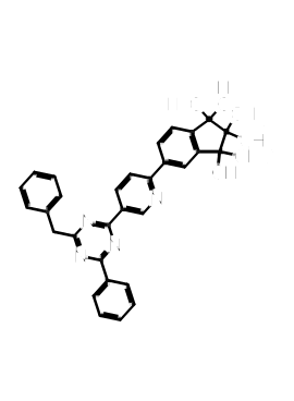 CC1(C)c2ccc(-c3ccc(-c4nc(Cc5ccccc5)nc(-c5ccccc5)n4)cn3)cc2C(C)(C)C1(C)C